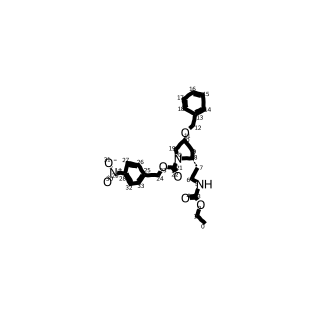 CCOC(=O)NCC[C@H]1C[C@@H](OCc2ccccc2)CN1C(=O)OCc1ccc([N+](=O)[O-])cc1